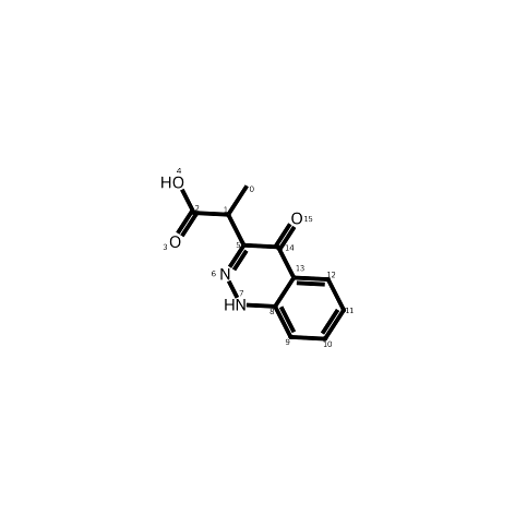 CC(C(=O)O)c1n[nH]c2ccccc2c1=O